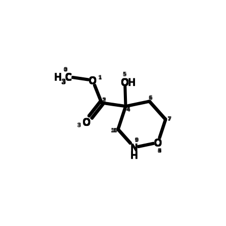 COC(=O)C1(O)CCONC1